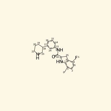 Cc1ccc(F)c2c1NC(C(=O)Nc1cccc(C3CCCNC3)c1)C2